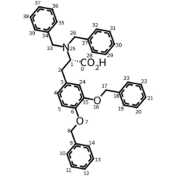 O=C(O)[C@H](Cc1ccc(OCc2ccccc2)c(OCc2ccccc2)c1)N(Cc1ccccc1)Cc1ccccc1